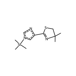 CC1(C)CSC(c2cn([Si](C)(C)C)cn2)=N1